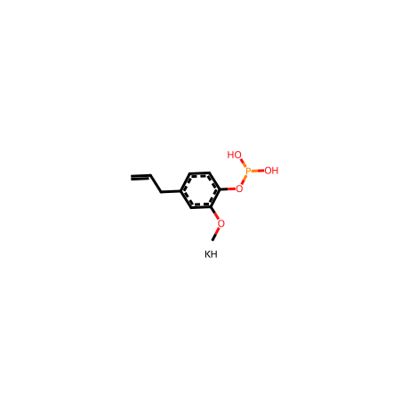 C=CCc1ccc(OP(O)O)c(OC)c1.[KH]